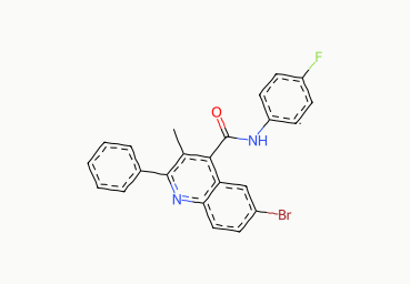 Cc1c(-c2ccccc2)nc2ccc(Br)cc2c1C(=O)Nc1[c]cc(F)cc1